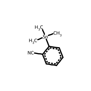 [CH3][Sn]([CH3])([CH3])[c]1ccccc1C#N